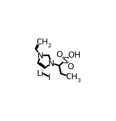 C=CN1C=CN(C(CC)S(=O)(=O)O)C1.[Li][I]